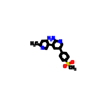 Cc1ccc(-c2cc(-c3ccc(S(C)(=O)=O)cc3)cnc2N)cn1